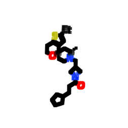 CCc1cc2c(s1)CCO[C@@]21CCN(CC2CN(C(=O)CCC3CCCC3)C2)[C@@H](C)C1